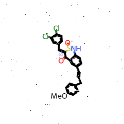 COc1ccc(CC#Cc2ccc3c(c2)C(=O)/C(=C/c2ccc(Cl)c(Cl)c2)[S+]([O-])N3)cc1